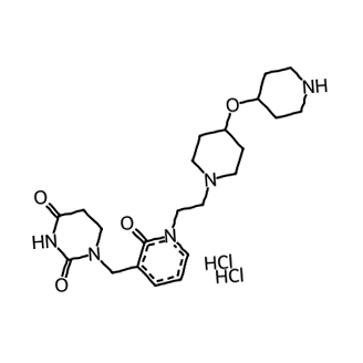 Cl.Cl.O=C1CCN(Cc2cccn(CCN3CCC(OC4CCNCC4)CC3)c2=O)C(=O)N1